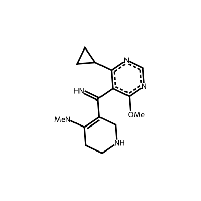 CNC1=C(C(=N)c2c(OC)ncnc2C2CC2)CNCC1